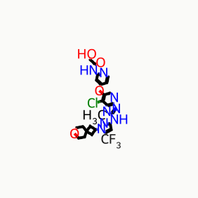 Cn1c(Nc2cc(C(F)(F)F)n(C3CC4(CCOCC4)C3)n2)nc2ncc(Oc3ccnc(NC(=O)CO)c3)c(Cl)c21